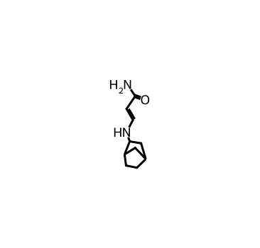 NC(=O)C=CNC1CC2CCC1C2